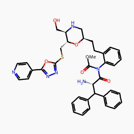 COC(=O)N(C(=O)[C@@H](N)C(c1ccccc1)c1ccccc1)c1ccccc1CC[C@@H]1CN[C@H](CO)[C@@H](CSc2nnc(-c3ccncc3)o2)O1